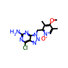 COc1c(C)c[n+]([O-])c(Cn2nnc3c(Cl)nc(N)nc32)c1C